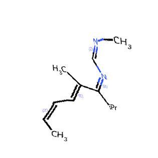 C\C=C/C=C(C)/C(=N\C=N/C)C(C)C